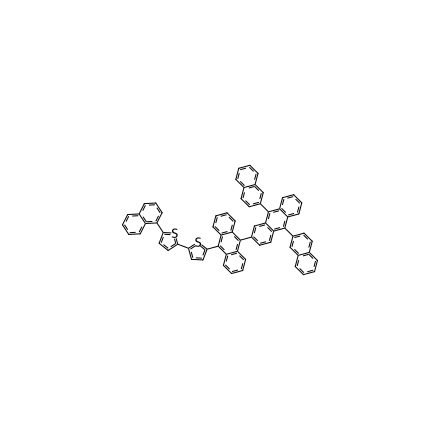 c1ccc2cc(-c3c4ccccc4c(-c4ccc5ccccc5c4)c4cc(-c5c6ccccc6c(-c6ccc(-c7ccc(-c8cccc9ccccc89)s7)s6)c6ccccc56)ccc34)ccc2c1